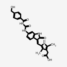 Cc1[nH]c(/C=C2\C(=O)Nc3cc(NC(=O)NC(=O)c4ccc(CO)cc4)ccc32)c(C)c1CC(=O)O